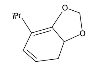 CC(C)C1=C2OCOC2CC=C1